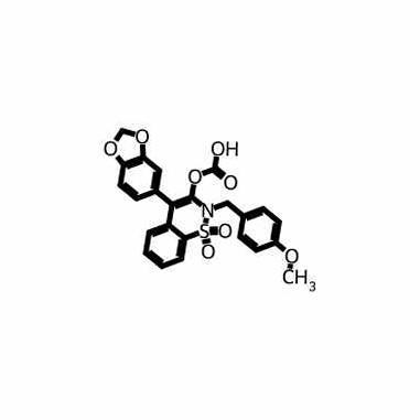 COc1ccc(CN2C(OC(=O)O)=C(c3ccc4c(c3)OCO4)c3ccccc3S2(=O)=O)cc1